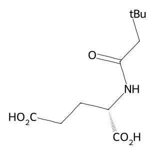 CC(C)(C)CC(=O)N[C@@H](CCC(=O)O)C(=O)O